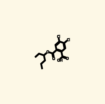 CCCC(CC)OC(=O)c1cc(Cl)c(Cl)cc1C(=O)O